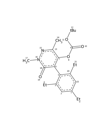 CCc1cc(CC)c(-c2c(OC(=O)OC(C)(C)C)c(C)nn(C)c2=O)c(CC)c1